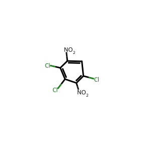 O=[N+]([O-])c1cc(Cl)c([N+](=O)[O-])c(Cl)c1Cl